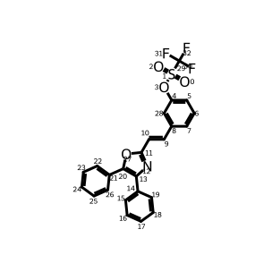 O=S(=O)(Oc1cccc(C=Cc2nc(-c3ccccc3)c(-c3ccccc3)o2)c1)C(F)(F)F